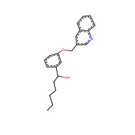 CCCCCC(O)c1cccc(OCc2cnc3ccccc3c2)c1